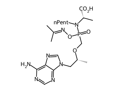 CCCCCN([C@@H](C)C(=O)O)P(=O)(CO[C@H](C)Cn1cnc2c(N)ncnc21)ON=C(C)C